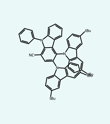 CC(C)(C)c1ccc2c(c1)c1cc(C(C)(C)C)ccc1n2-c1cc(C#N)c2c(c1-n1c3ccc(C(C)(C)C)cc3c3cc(C(C)(C)C)ccc31)c1ccccc1n2-c1ccccc1